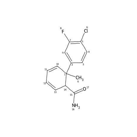 CC1(c2ccc(Cl)c(F)c2)C=CC=CC1C(N)=O